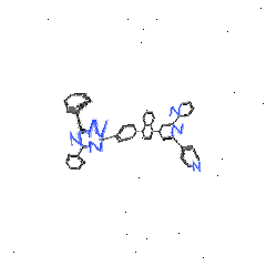 c1ccc(-c2nc(-c3ccccc3)nc(-c3ccc(-c4ccc(-c5cc(-c6ccncc6)nc(-c6ccccn6)c5)c5ccccc45)cc3)n2)cc1